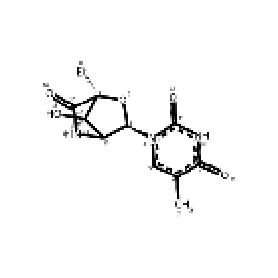 CC[C@@]12O[C@@H](n3cc(C)c(=O)[nH]c3=O)C(NC1=O)[C@H]2O